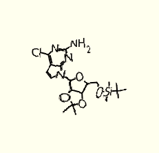 CC1(C)OC2C(CO[Si](C)(C)C(C)(C)C)OC(n3ccc4c(Cl)nc(N)nc43)C2O1